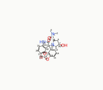 CN(C)C(=O)[C@@H]1C[C@@H](O)CN1C1(c2cccc3c2OCO3)C(=O)Nc2ccc(Br)cc21